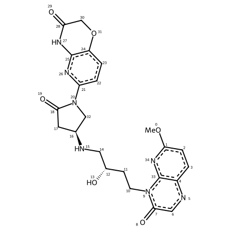 COc1ccc2ncc(=O)n(CC[C@H](O)CN[C@H]3CC(=O)N(c4ccc5c(n4)NC(=O)CO5)C3)c2n1